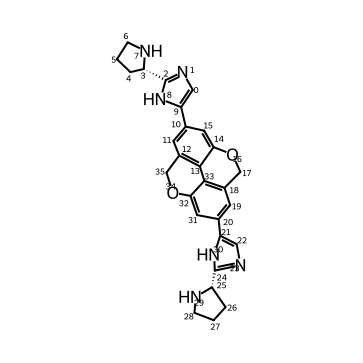 c1nc([C@@H]2CCCN2)[nH]c1-c1cc2c3c(c1)OCc1cc(-c4cnc([C@@H]5CCCN5)[nH]4)cc(c1-3)OC2